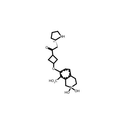 O=C(O)c1c(OC2CC(C(=O)C[C@@H]3CCCN3)C2)ccc2c1C[B-](O)(O)CC2